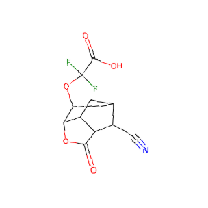 N#CC1C2CC3C(OC(=O)C13)C2OC(F)(F)C(=O)O